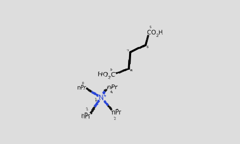 CCC[N+](CCC)(CCC)CCC.O=C(O)CCCC(=O)O